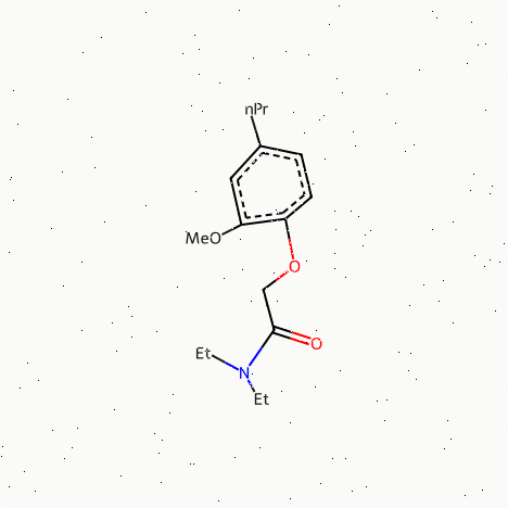 CCCc1ccc(OCC(=O)N(CC)CC)c(OC)c1